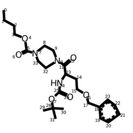 CCCCOC(=O)N1CCN(C(=O)C(CCOCc2ccccc2)NC(=O)OC(C)(C)C)CC1